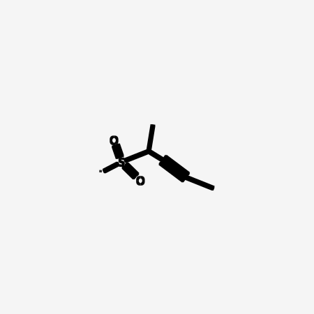 [CH2]S(=O)(=O)C(C)C#CC